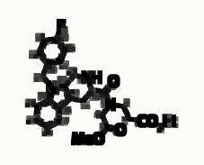 CCOC(=O)CCN(CC(=O)OC)C(=O)C1Cc2c(n(Cc3ccc(F)cc3)c3ccccc23)CN1